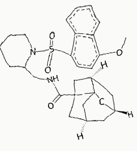 COc1ccc(S(=O)(=O)N2CCCCC2CNC(=O)C23C[C@@H]4C[C@H]5C[C@H](C2)C3(C5)C4)c2ccccc12